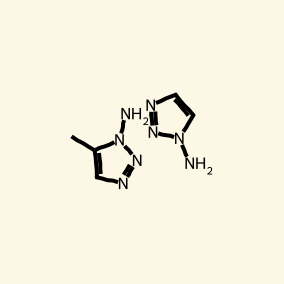 Cc1cnnn1N.Nn1ccnn1